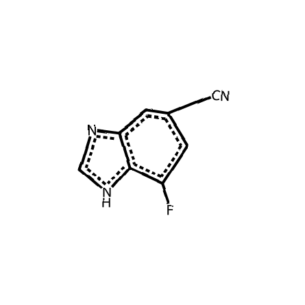 N#Cc1cc(F)c2[nH]cnc2c1